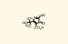 CCCc1nc(C(C)(C)O)c(C(=O)O)n1CC